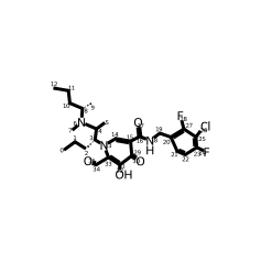 CCC[C@H](C(C)N(C)[C@@H](C)CCC)n1cc(C(=O)NCc2ccc(F)c(Cl)c2F)c(=O)c(O)c1C=O